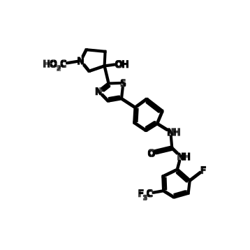 O=C(Nc1ccc(-c2cnc(C3(O)CCN(C(=O)O)C3)s2)cc1)Nc1cc(C(F)(F)F)ccc1F